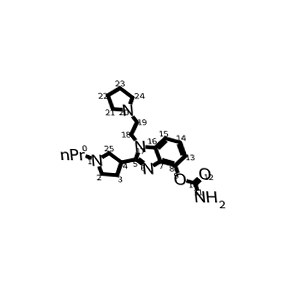 CCCN1CCC(c2nc3c(OC(N)=O)cccc3n2CCN2CCCC2)C1